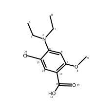 CCN(CC)c1cc(OC)c(C(=O)O)cc1Cl